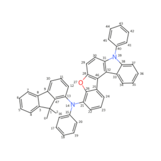 CC1(C)c2ccccc2-c2cccc(N(c3ccccc3)c3cccc4c3oc3ccc5c(c6ccccc6n5-c5ccccc5)c34)c21